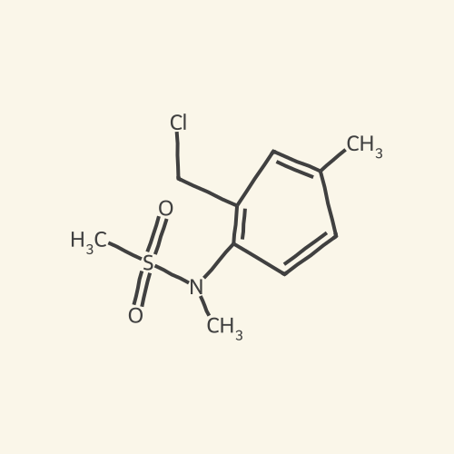 Cc1ccc(N(C)S(C)(=O)=O)c(CCl)c1